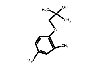 Bc1ccc(OCC(C)(C)O)c(C)c1